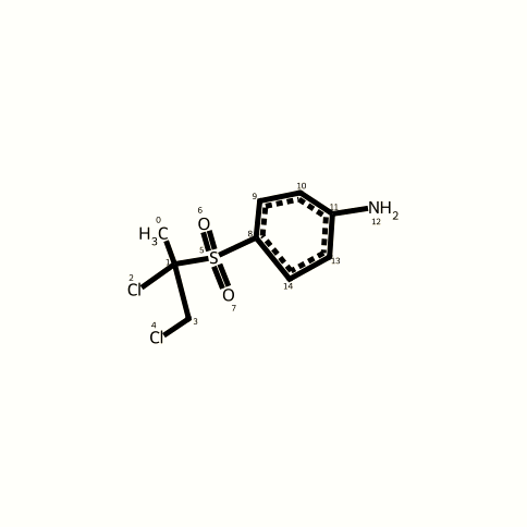 CC(Cl)(CCl)S(=O)(=O)c1ccc(N)cc1